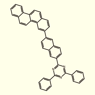 c1ccc(-c2nc(-c3ccccc3)nc(-c3ccc4cc(-c5ccc6ccc7c8ccccc8ccc7c6c5)ccc4c3)n2)cc1